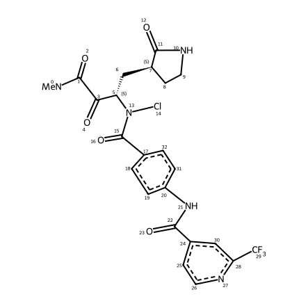 CNC(=O)C(=O)[C@H](C[C@@H]1CCNC1=O)N(Cl)C(=O)c1ccc(NC(=O)c2ccnc(C(F)(F)F)c2)cc1